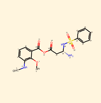 CCCOc1c(NC=O)cccc1C(=O)OC(=O)C[C@@H](N)NS(=O)(=O)c1ccccc1